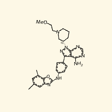 COCCN1CCC[C@H](n2nc(-c3ccc(Nc4nc5cc(C)cc(C)c5o4)cc3)c3c(N)ncnc32)C1